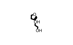 C1#COCC1.OCCO